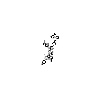 CC(C)c1ccccc1[C@@H]1CCCN1C1CC2(CCN(c3cc(Oc4cnc5[nH]ccc5c4)c(C(=O)NS(=O)(=O)c4cc([N+](=O)[O-])c(NC[C@H]5CC[C@](C)(O)CC5)c5[nH]cnc45)cn3)CC2)C1